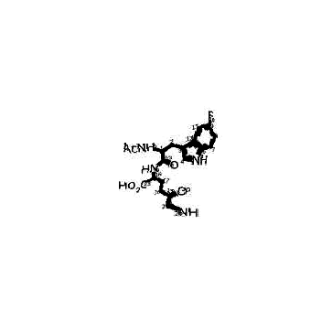 CC(=O)NC(Cc1c[nH]c2ccc(F)cc12)C(=O)NC(CCC(=O)C=N)C(=O)O